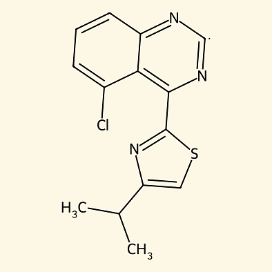 CC(C)c1csc(-c2n[c]nc3cccc(Cl)c23)n1